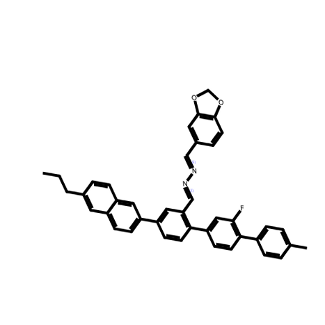 CCCc1ccc2cc(-c3ccc(-c4ccc(-c5ccc(C)cc5)c(F)c4)c(/C=N/N=C/c4ccc5c(c4)OCO5)c3)ccc2c1